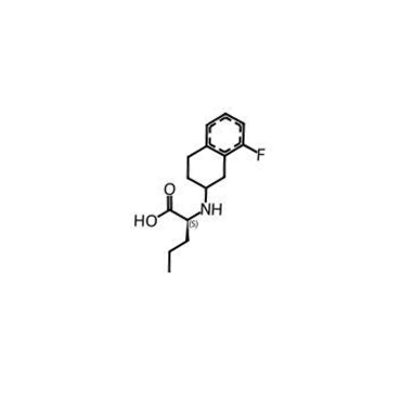 CCC[C@H](NC1CCc2cccc(F)c2C1)C(=O)O